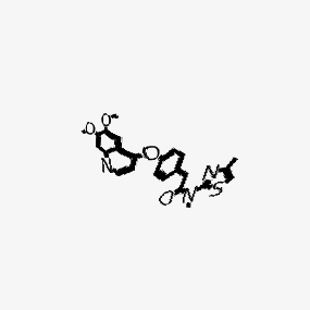 COc1cc2nccc(Oc3ccc(CC(=O)N(C)c4nc(C)cs4)cc3)c2cc1OC